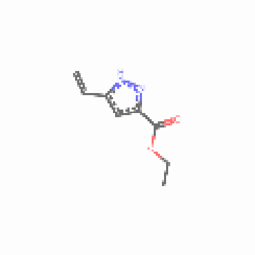 C=Cc1cc(C(=O)OCC)n[nH]1